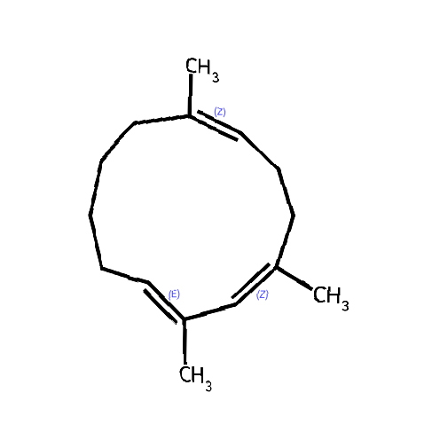 C/C1=C/C(C)=C/CCCC/C(C)=C\CC1